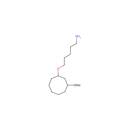 COC1CCCCCC(OCCCCCN)C1